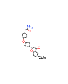 COc1ccc2oc(-c3ccc(Oc4ccc(CC(N)=O)cc4)cc3)cc(=O)c2c1